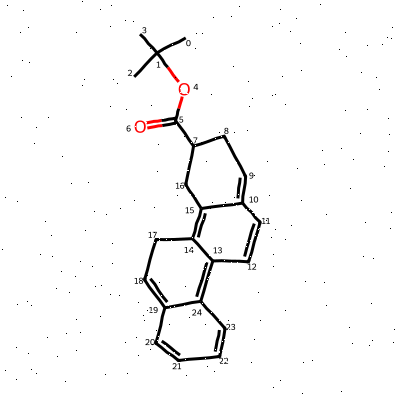 CC(C)(C)OC(=O)C1CC=c2ccc3c(c2C1)CC=c1ccccc1=3